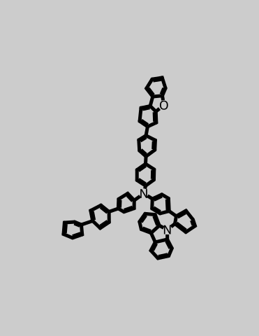 c1ccc(-c2ccc(-c3ccc(N(c4ccc(-c5ccc(-c6ccc7c(c6)oc6ccccc67)cc5)cc4)c4ccc(-c5ccccc5-n5c6ccccc6c6ccccc65)cc4)cc3)cc2)cc1